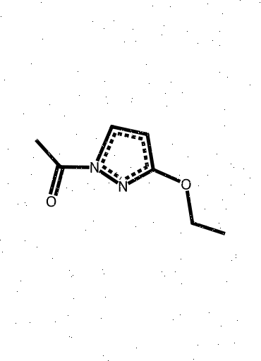 CCOc1ccn(C(C)=O)n1